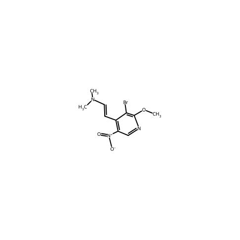 COc1ncc([N+](=O)[O-])c(/C=C/N(C)C)c1Br